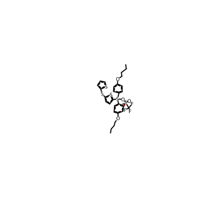 CCCCOc1ccc(S(OS(=O)(=O)C(F)(F)F)(c2ccc(OCCCC)cc2)c2ccc(Sc3cccs3)s2)cc1